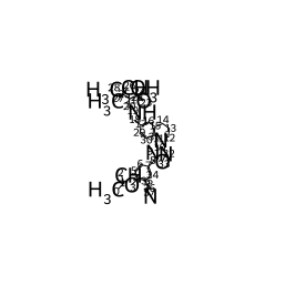 CC(C)Oc1ccc(-c2nc(N3CCCc4cc(CNCC(C(=O)O)C(C)(C)C)ccc43)no2)cc1C#N